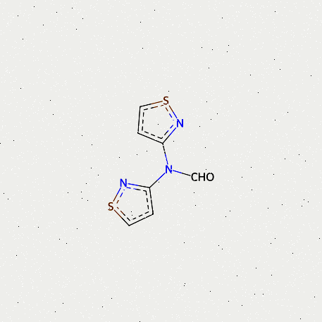 O=CN(c1ccsn1)c1ccsn1